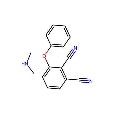 CNC.N#Cc1cccc(Oc2ccccc2)c1C#N